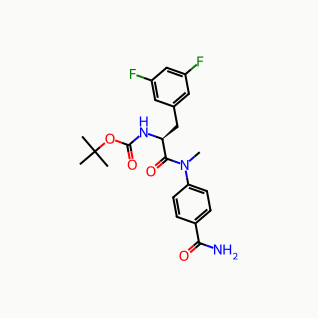 CN(C(=O)[C@H](Cc1cc(F)cc(F)c1)NC(=O)OC(C)(C)C)c1ccc(C(N)=O)cc1